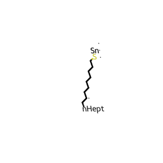 CCCCCCCC[CH]CCCCCCC[S][Sn]